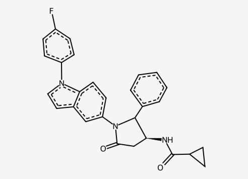 O=C(N[C@H]1CC(=O)N(c2ccc3c(ccn3-c3ccc(F)cc3)c2)C1c1ccccc1)C1CC1